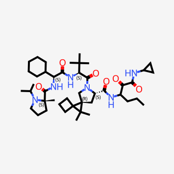 CCCC(NC(=O)[C@@H]1C[C@@]2(CN1C(=O)[C@@H](NC(=O)[C@@H](NC(=O)[C@]1(C)CCCN1C(C)C)C1CCCCC1)C(C)(C)C)C(C)(C)C21CCC1)C(=O)C(=O)NC1CC1